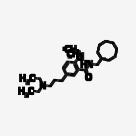 CCN(CC)CCCc1ccc(Cl)c(C(=O)NC[C]2CCCCCCC2)c1.[CH2].[CH2]